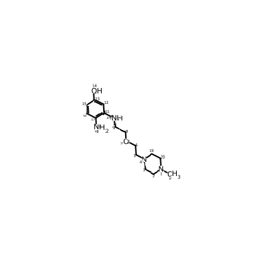 CN1CCN(CCOCCNc2cc(O)ccc2N)CC1